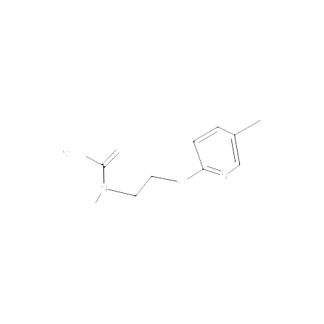 COC(=O)N(C)CCOc1ccc(C)cn1